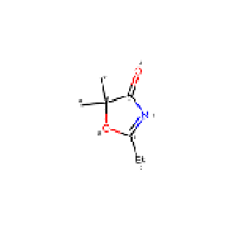 CCC1=NC(=O)C(C)(C)O1